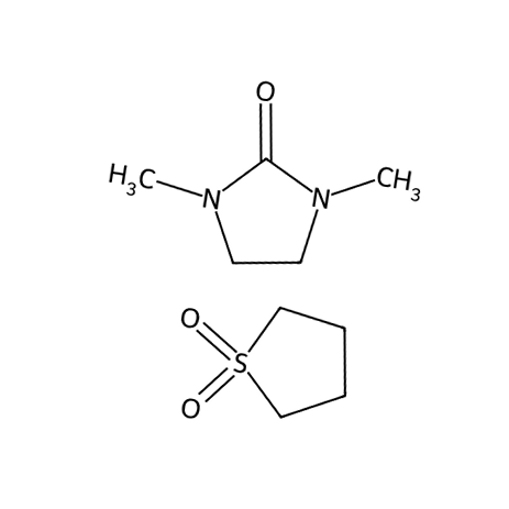 CN1CCN(C)C1=O.O=S1(=O)CCCC1